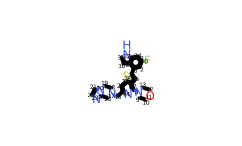 Fc1cc(-c2cc3c(N4CCOCC4)nc(CN4CCn5ccnc5C4)cc3s2)c2cc[nH]c2c1